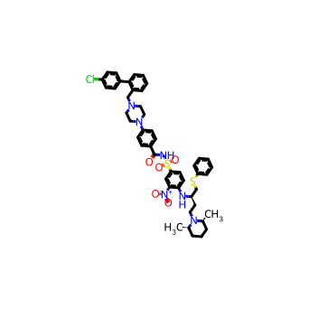 C[C@@H]1CCC[C@H](C)N1CC[C@H](CSc1ccccc1)Nc1ccc(S(=O)(=O)NC(=O)c2ccc(N3CCN(Cc4ccccc4-c4ccc(Cl)cc4)CC3)cc2)cc1[N+](=O)[O-]